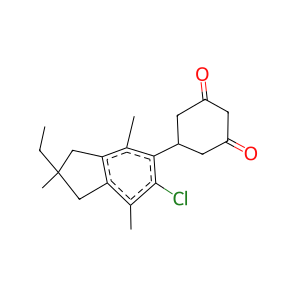 CCC1(C)Cc2c(C)c(Cl)c(C3CC(=O)CC(=O)C3)c(C)c2C1